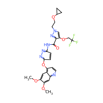 COc1cc2nccc(Oc3ccc(NC(=O)c4nn(CCOC5CC5)cc4OCC(F)(F)F)nn3)c2cc1OC